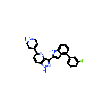 Fc1cccc(-c2cccc3[nH]c(-c4n[nH]c5ccc(C6=CCNCC6)nc45)cc23)c1